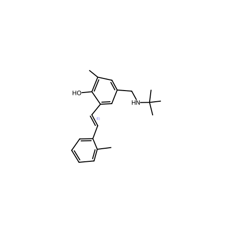 Cc1ccccc1/C=C/c1cc(CNC(C)(C)C)cc(C)c1O